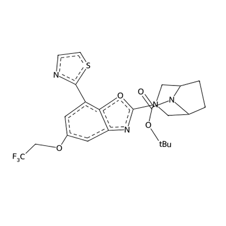 CC(C)(C)OC(=O)N1C2CCC1CN(c1nc3cc(OCC(F)(F)F)cc(-c4nccs4)c3o1)C2